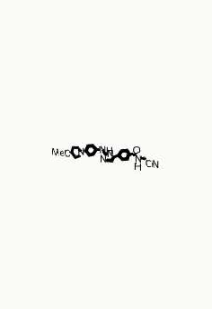 COC1CCN(c2ccc(Nc3nccc(-c4ccc(C(=O)NCC#N)cc4)n3)cc2)CC1